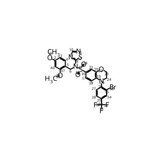 COc1ccc(CN(c2ncns2)S(=O)(=O)c2ccc3c(c2)OCCN3c2ccc(C(F)(F)F)cc2Br)c(OC)c1